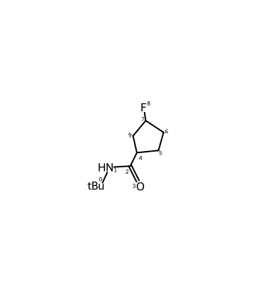 CC(C)(C)NC(=O)C1CCC(F)C1